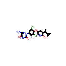 Bc1c(-n2nc(N)c(=O)[nH]c2=O)cc(Cl)c(Oc2cnc(O)c(C(C)C3CC3)c2)c1Cl